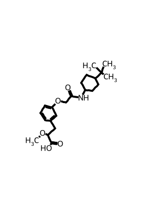 COC(Cc1cccc(OCC(=O)NC2CCC(C(C)(C)C)CC2)c1)C(=O)O